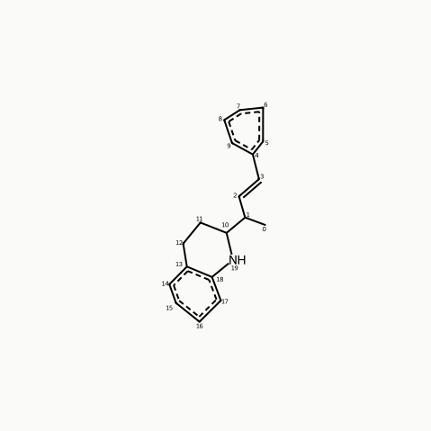 CC(C=Cc1ccccc1)C1CCc2ccccc2N1